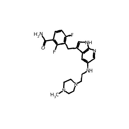 CN1CCN(CCNc2cnc3[nH]cc(Cc4c(F)ccc(C(N)=O)c4F)c3c2)CC1